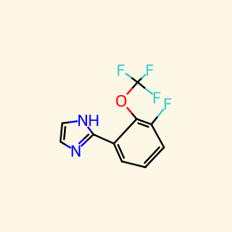 Fc1cccc(-c2ncc[nH]2)c1OC(F)(F)F